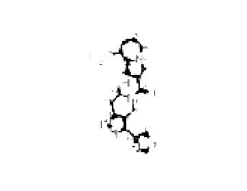 Cc1cccn2cc(C(=O)N3Cc4c(-c5cscn5)n[nH]c4CC3C)cc12